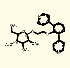 CC(=O)OCC1O[C@@H](OCCOc2c(-c3ccncc3)cccc2-c2ccncc2)C(OC(C)=O)C(OC(C)=O)[C@@H]1OC(C)=O